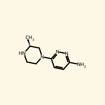 C[C@H]1CN(c2ccc(N)nn2)CCN1